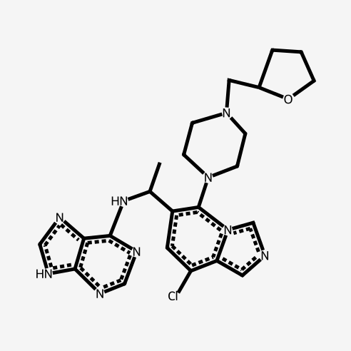 CC(Nc1ncnc2[nH]cnc12)c1cc(Cl)c2cncn2c1N1CCN(CC2CCCO2)CC1